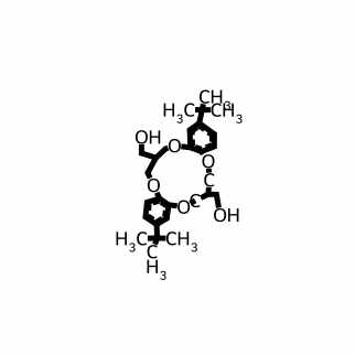 CC(C)(C)c1ccc2c(c1)OCC(CO)COc1ccc(C(C)(C)C)cc1OCC(CO)CO2